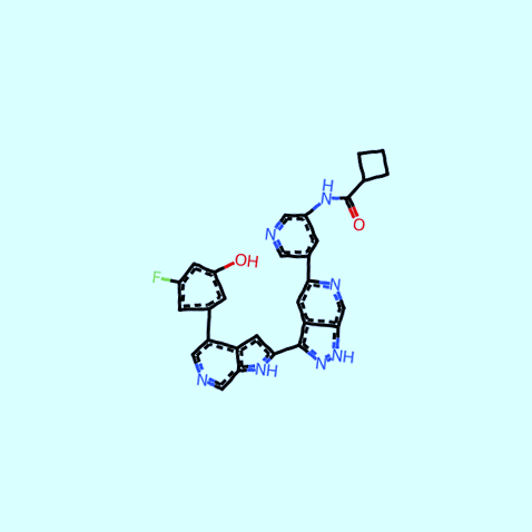 O=C(Nc1cncc(-c2cc3c(-c4cc5c(-c6cc(O)cc(F)c6)cncc5[nH]4)n[nH]c3cn2)c1)C1CCC1